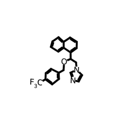 FC(F)(F)c1ccc(COC(Cn2ccnc2)c2cccc3ccccc23)cc1